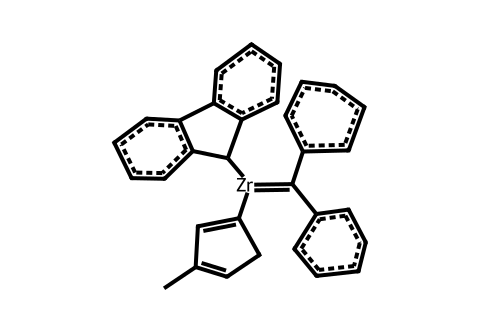 CC1=CC[C]([Zr](=[C](c2ccccc2)c2ccccc2)[CH]2c3ccccc3-c3ccccc32)=C1